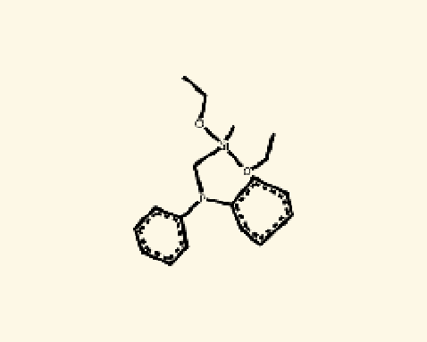 CCO[Si](C)(CP(c1ccccc1)c1ccccc1)OCC